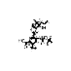 C=CC[C@@](O)(c1nnc(-c2nc(C(=O)O)c(C(F)(F)F)cc2NC(=O)OC(C)(C)C)o1)C(F)(F)F